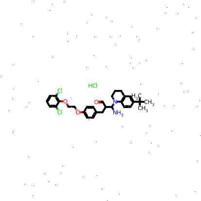 CC(C)(C)c1ccc2c(c1)CCCN2C(N)C(C=O)Cc1ccc(OCCOc2c(Cl)cccc2Cl)cc1.Cl